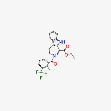 CCOC(=O)C1=CN(C(=O)c2cccc(C(F)(F)F)c2C)CCc2c1[nH]c1ccccc21